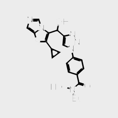 CCN(C)C(=O)c1ccc(-n2cc(C(O)c3c(C4CC4)sc4cncn34)nn2)cc1